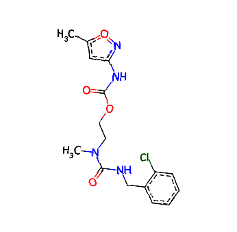 Cc1cc(NC(=O)OCCN(C)C(=O)NCc2ccccc2Cl)no1